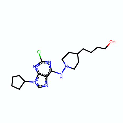 OCCCCC1CCN(Nc2nc(Cl)nc3c2ncn3C2CCCC2)CC1